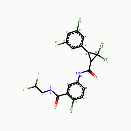 O=C(NCC(F)F)c1cc(NC(=O)C2C(c3cc(Cl)cc(Cl)c3)C2(Cl)Cl)ccc1Cl